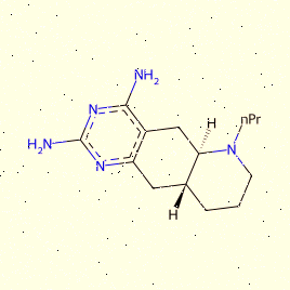 CCCN1CCC[C@@H]2Cc3nc(N)nc(N)c3C[C@H]21